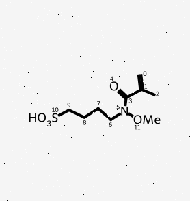 C=C(C)C(=O)N(CCCCS(=O)(=O)O)OC